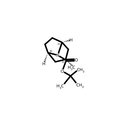 C[C@@H]1C[C@H]2CC[C@@H](C1)N2C(=O)OC(C)(C)C